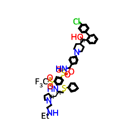 CCNCCN1CCC[C@H]1C[C@H](CSc1ccccc1)Nc1ccc(S(=O)(=O)NC(=O)c2ccc(N3CCC([C@@H](O)c4ccccc4-c4ccc(Cl)cc4)CC3)cc2)cc1S(=O)(=O)C(F)(F)F